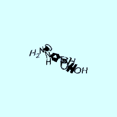 CC(C)(O)C(C)(C)OBc1ccc(NC(N)=O)cc1